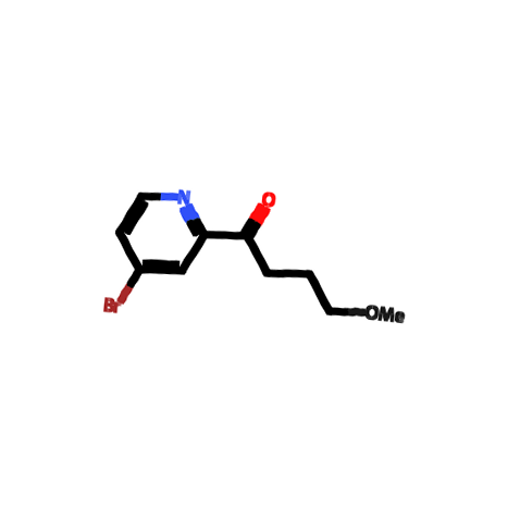 COCCCC(=O)c1cc(Br)ccn1